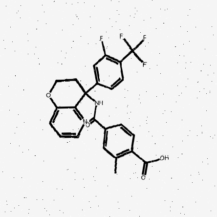 Cc1cc(C(=O)NC2(c3ccc(C(F)(F)F)c(F)c3)CCOc3cccnc32)ccc1C(=O)O